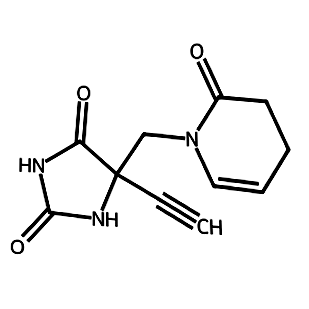 C#CC1(CN2C=CCCC2=O)NC(=O)NC1=O